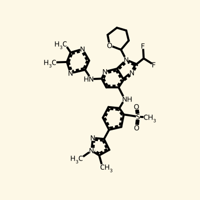 Cc1ncc(Nc2cc(Nc3ccc(-c4cc(C)n(C)n4)cc3S(C)(=O)=O)c3nc(C(F)F)n(C4CCCCO4)c3n2)nc1C